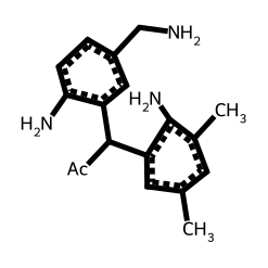 CC(=O)C(c1cc(CN)ccc1N)c1cc(C)cc(C)c1N